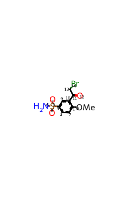 COc1ccc(S(N)(=O)=O)cc1C(=O)CBr